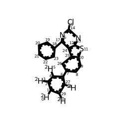 [2H]c1c([2H])c([2H])c(-c2ccc3sc4nc(Cl)nc(-c5ccccc5)c4c3c2)c([2H])c1[2H]